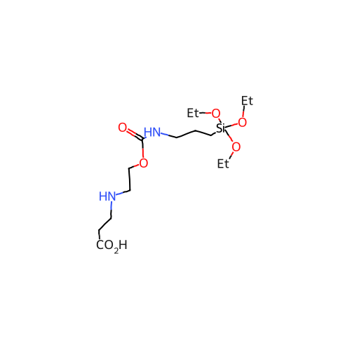 CCO[Si](CCCNC(=O)OCCNCCC(=O)O)(OCC)OCC